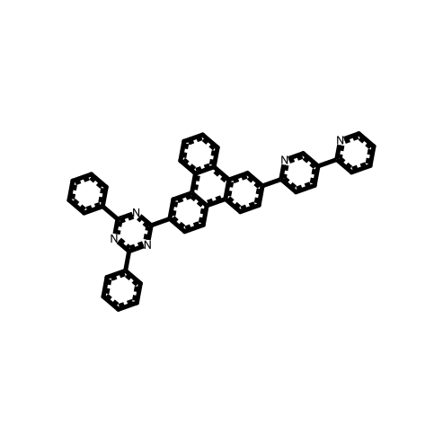 c1ccc(-c2nc(-c3ccccc3)nc(-c3ccc4c5ccc(-c6ccc(-c7ccccn7)cn6)cc5c5ccccc5c4c3)n2)cc1